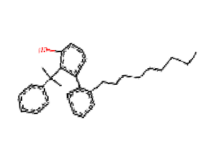 CCCCCCCCCc1ccccc1-c1cccc(O)c1C(C)(C)c1ccccc1